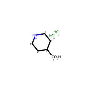 Cl.Cl.O=C(O)C1CCNCC1